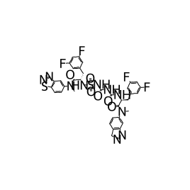 CN(C(=O)[C@H](Cc1cc(F)cc(F)c1)NC(=O)NC(=O)NS(=O)(=O)N[C@@H](Cc1cc(F)cc(F)c1)C(=O)N(C)c1ccc2snnc2c1)c1ccc2c(c1)N=NC2